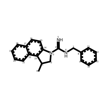 CC1CN(C(=N)NCc2ccccc2)c2ccc3ccccc3c21